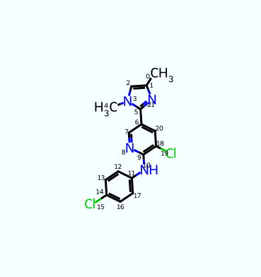 Cc1cn(C)c(-c2cnc(Nc3ccc(Cl)cc3)c(Cl)c2)n1